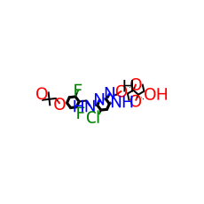 CC1(COc2cc(F)c(CNc3nc4nc(O[C@@H]5CO[C@]6(C)[C@H](O)CO[C@H]56)[nH]c4cc3Cl)c(F)c2)COC1